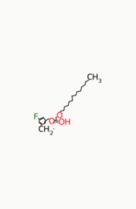 [CH2]c1cc(F)cc(CO[C@@H](CO)COCCCCCCCCCCCCCCC)c1